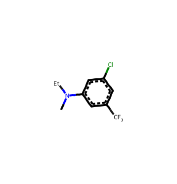 CCN(C)c1cc(Cl)cc(C(F)(F)F)c1